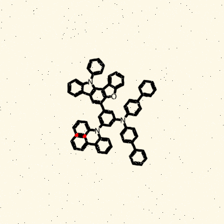 c1ccc(-c2ccc(N(c3ccc(-c4ccccc4)cc3)c3cc(-c4cc5c6ccccc6n(-c6ccccc6)c5c5c4oc4ccccc45)cc(N(c4ccccc4)c4ccccc4-c4ccccc4)c3)cc2)cc1